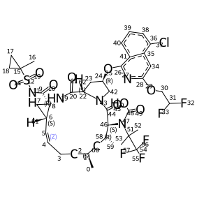 C[C@H]1CC/C=C\[C@@H]2C[C@@]2(C(=O)NS(=O)(=O)C2(C)CC2)NC(=O)[C@@H]2C[C@@H](Oc3nc(OCC(F)F)cc4c(Cl)cccc34)CN2C(=O)[C@@H](N(C(=O)O)C(C)(C)C(F)(F)F)[C@H](C)C1